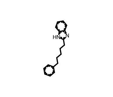 c1ccc(CCCCCc2nc3ccccc3[nH]2)cc1